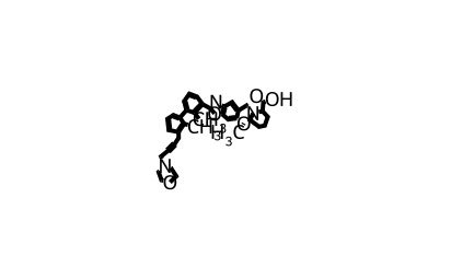 COc1cc2oc(-c3cccc(-c4cccc(CC#CCN5CCOCC5)c4C)c3C)nc2cc1CN1CCCCC1C(=O)O